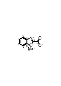 O=C([O-])c1nc2ccccc2o1.[Na+]